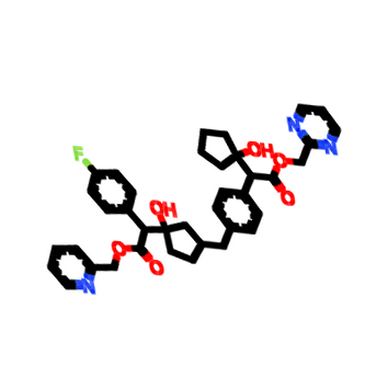 O=C(OCc1ncccn1)C(c1ccc(CC2CCC(O)(C(C(=O)OCc3ccccn3)c3ccc(F)cc3)C2)cc1)C1(O)CCCC1